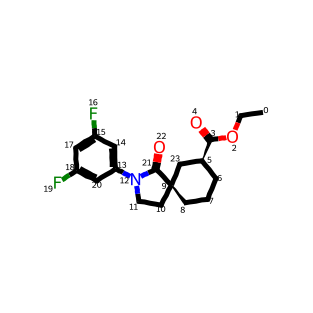 CCOC(=O)[C@H]1CCC[C@]2(CCN(c3cc(F)cc(F)c3)C2=O)C1